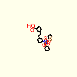 O=C(O)c1cccc(CCc2cccc(N(S(=O)(=O)c3ccccc3)S(=O)(=O)c3cccs3)c2)c1